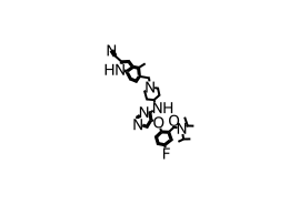 Cc1c(CN2CCC(Nc3ncncc3Oc3ccc(F)cc3C(=O)N(C(C)C)C(C)C)CC2)ccc2[nH]c(C#N)cc12